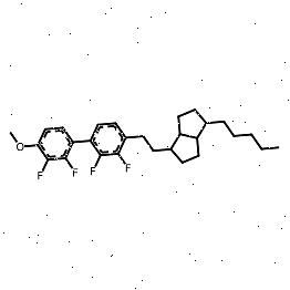 CCCCCC1CCC2C(CCc3ccc(-c4ccc(OC)c(F)c4F)c(F)c3F)CCC12